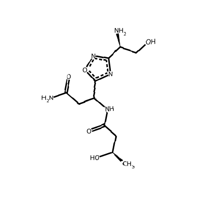 C[C@@H](O)CC(=O)NC(CC(N)=O)c1nc([C@@H](N)CO)no1